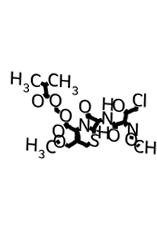 COCC1=C(C(=O)OCOC(=O)C(C)C)N2C(=O)C(NC(=O)/C(=N\OC)C(=O)CCl)[C@H]2SC1